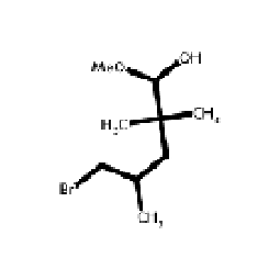 COC(O)C(C)(C)CC(C)CBr